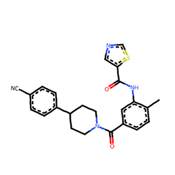 Cc1ccc(C(=O)N2CCC(c3ccc(C#N)cc3)CC2)cc1NC(=O)c1cncs1